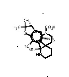 CC1(C)Cc2cc([N+](=O)[O-])c(C3(C(C)(C)C)NCCCC34CCN(C(=O)O)CC4)c(C#N)c2O1